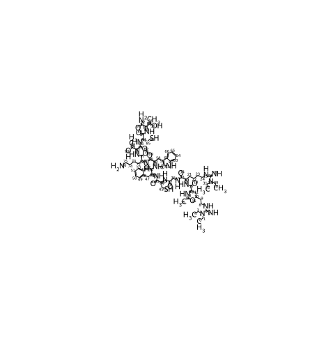 CCN(CC)C(=N)NCCCC[C@@H](NC(C)=O)C(=O)N[C@H](CCCCNC(=N)N(CC)CC)C(=O)NCC(=O)N[C@@H](CS)C(=O)N[C@@H](Cc1ccccc1)C(=O)N[C@H](Cc1c[nH]c2ccccc12)C(=O)N[C@@H](CCCCN)C(=O)N[C@H](C(=O)N[C@@H](CS)C(=O)N[C@H](C(N)=O)[C@@H](C)O)[C@@H](C)O